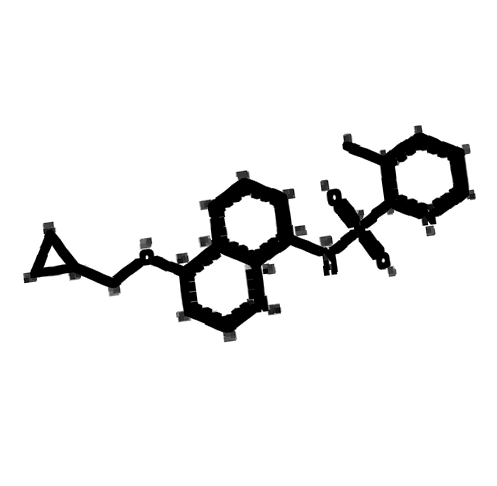 Cc1cccnc1S(=O)(=O)Nc1cccc2c(OCC3CC3)ccnc12